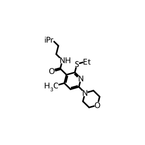 CCSc1nc(N2CCOCC2)cc(C)c1C(=O)NCCC(C)C